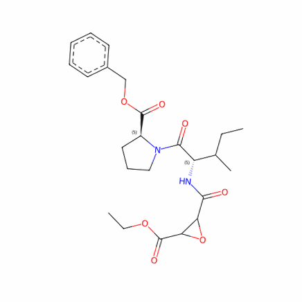 CCOC(=O)C1OC1C(=O)N[C@H](C(=O)N1CCC[C@H]1C(=O)OCc1ccccc1)C(C)CC